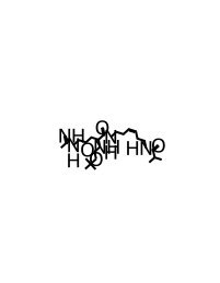 CC(=N)NCCCC(NC(=O)OC(C)(C)C)C(=O)NCC/C=C\CCNC(=O)C(C)C